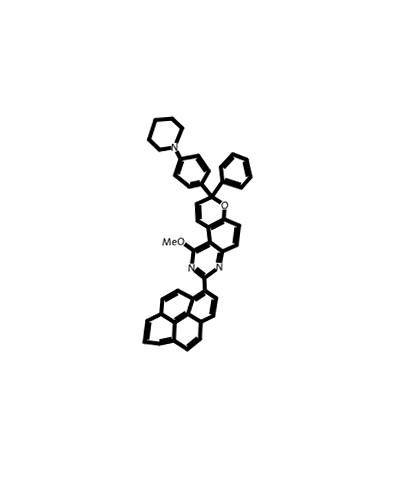 COc1nc(C2=C3C=CC4C=CC=C5C=CC(C=C2)C3=C54)nc2ccc3c(c12)C=CC(c1ccccc1)(c1ccc(N2CCCCC2)cc1)O3